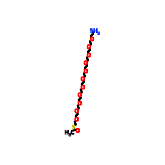 CC(=O)SCCOCCOCCOCCOCCOCCOCCOCCOCCOCCOCCOCCN